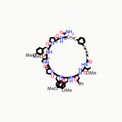 COc1ccc(C[C@@H]2NC(=O)[C@H](CCC(C)C)NC(=O)[C@H]([C@@H](C)OC)NC(=O)CCSCc3cccc(c3)CSC[C@@H](C(N)=O)NC(=O)[C@]3(C)CCCN3C(=O)[C@H](Cc3ccc(OC)cc3)NC(=O)[C@H]([C@@H](C)OC)NC(=O)[C@@H]3CCCN3C(=O)[C@H](Cc3ccc(OC)cc3)NC2=O)cc1